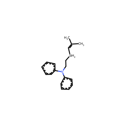 CC(C)=C[SiH2]CCN(c1ccccc1)c1ccccc1